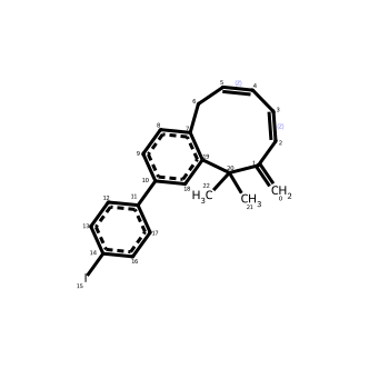 C=C1/C=C\C=C/Cc2ccc(-c3ccc(I)cc3)cc2C1(C)C